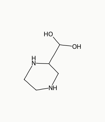 OC(O)C1CNCCN1